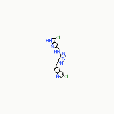 Clc1cnc2ccc(Cc3cc4c(NCc5cnc6[nH]cc(Cl)c6c5)ncn4cn3)cc2c1